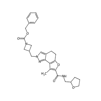 Cc1c(C(=O)NCC2CCCO2)oc2c1-c1nn(CC3CN(C(=O)OCc4ccccc4)C3)cc1CC2